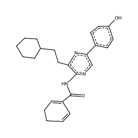 O=C(Nc1ncc(-c2ccc(O)cc2)nc1CCC1CCCCC1)C1=CCCC=C1